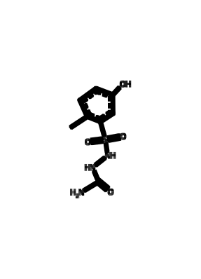 Cc1ccc(O)cc1S(=O)(=O)NNC(N)=O